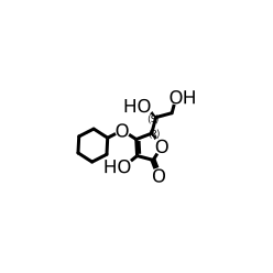 O=C1O[C@H]([C@@H](O)CO)C(OC2CCCCC2)=C1O